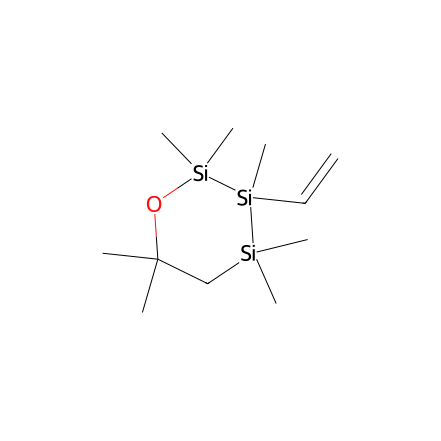 C=C[Si]1(C)[Si](C)(C)CC(C)(C)O[Si]1(C)C